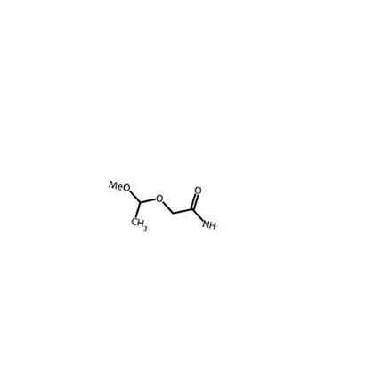 COC(C)OCC([NH])=O